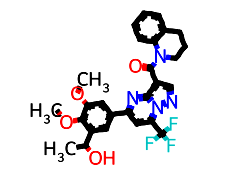 COc1cc(-c2cc(C(F)(F)F)n3ncc(C(=O)N4CCCc5ccccc54)c3n2)cc(C(C)O)c1OC